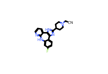 N#CCN1CCC(c2nc3c([nH]2)-c2cccnc2Nc2cc(F)ccc2-3)CC1